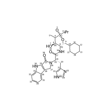 CC(C)S(=O)(=O)C(C)[C@H](O)[C@H](CC1CCCCC1)NC(=O)[C@H](Cc1c[nH]cn1)N1Cc2c([nH]c3ccccc23)C1=O